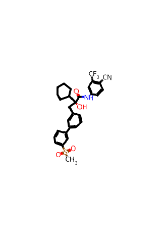 CS(=O)(=O)c1cccc(-c2cccc(CC(O)(C(=O)Nc3ccc(C#N)c(C(F)(F)F)c3)C3CCCCC3)c2)c1